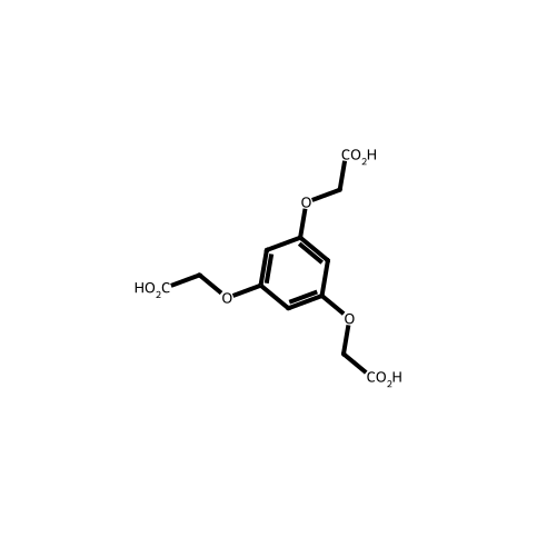 O=C(O)COc1cc(OCC(=O)O)cc(OCC(=O)O)c1